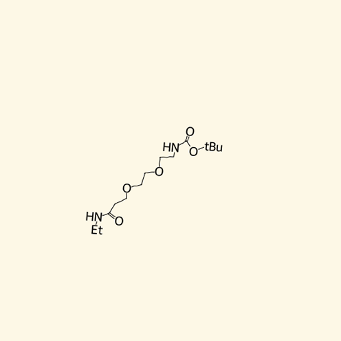 CCNC(=O)CCOCCOCCNC(=O)OC(C)(C)C